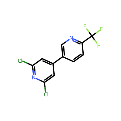 FC(F)(F)c1ccc(-c2cc(Cl)nc(Cl)c2)cn1